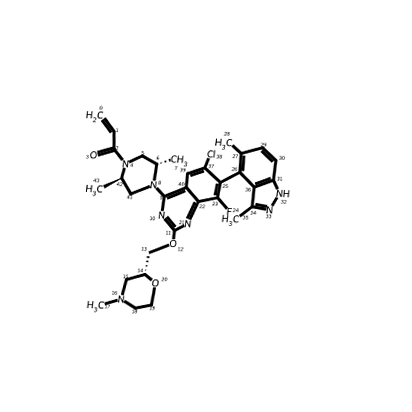 C=CC(=O)N1C[C@H](C)N(c2nc(OC[C@H]3CN(C)CCO3)nc3c(F)c(-c4c(C)ccc5[nH]nc(C)c45)c(Cl)cc23)C[C@H]1C